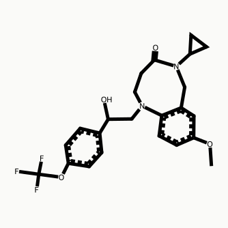 COc1ccc2c(c1)CN(C1CC1)C(=O)CCN2CC(O)c1ccc(OC(F)(F)F)cc1